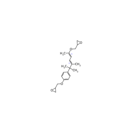 C/C(=C\C=C(/C)C(C)(C)c1ccc(OCC2CO2)cc1)OCC1CO1